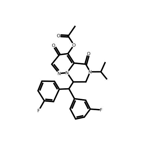 CC(=O)Oc1c2n(ncc1=O)C(C(c1cccc(F)c1)c1cccc(F)c1)CN(C(C)C)C2=O